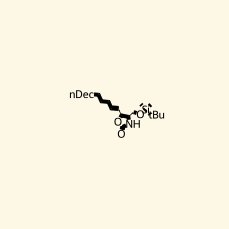 CCCCCCCCCCCCCC=C[C@H]1OC(=O)N[C@H]1CO[Si](C)(C)C(C)(C)C